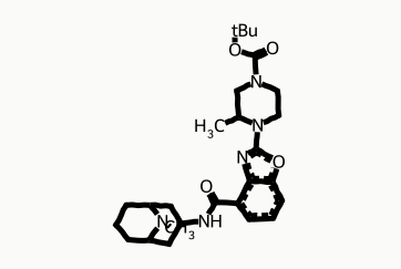 CC1CN(C(=O)OC(C)(C)C)CCN1c1nc2c(C(=O)NC3CC4CCCC(C3)N4C)cccc2o1